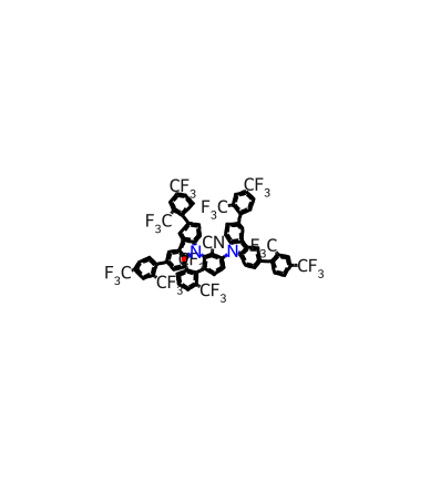 N#Cc1c(-n2c3ccc(-c4ccc(C(F)(F)F)cc4C(F)(F)F)cc3c3cc(-c4ccc(C(F)(F)F)cc4C(F)(F)F)ccc32)ccc(-c2c(C(F)(F)F)cccc2C(F)(F)F)c1-n1c2ccc(-c3ccc(C(F)(F)F)cc3C(F)(F)F)cc2c2cc(-c3ccc(C(F)(F)F)cc3C(F)(F)F)ccc21